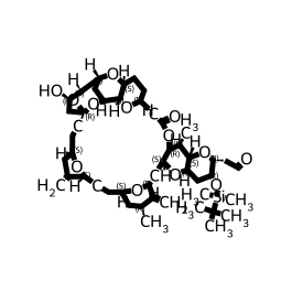 C=C1C[C@@H]2CC[C@]34C[C@@H](O)[C@H](O3)[C@H]3C[C@@H](O4)[C@H]4O[C@H](CC[C@@H]4O3)CC(=O)O[C@@H]3[C@@H](C)[C@@H]4O[C@H](CC=O)[C@H](O[Si](C)(C)C(C)(C)C)C[C@@H]4O[C@H]3C[C@H]3O[C@@H](CC[C@@H]1O2)C[C@@H](C)C3=C